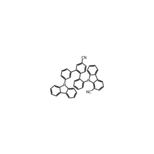 N#Cc1ccc(-c2ccccc2-n2c3ccccc3c3cccc(C#N)c32)c(-c2cccc(-n3c4ccccc4c4ccccc43)c2)c1